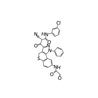 N#CC(C(=O)Nc1cccc(Cl)c1)C(=O)c1nn(-c2ccccc2)c2c1CSc1ccc(NC(=O)C=O)cc1-2